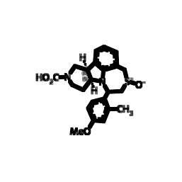 COc1ccc(C2C[S+]([O-])Cc3cccc4c3N2[C@H]2CCN(C(=O)O)C[C@@H]42)c(C)c1